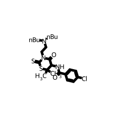 CCCCN(CCCC)CCN1C(=O)C(NC(=O)c2ccc(Cl)cc2)C(C)(C)SC1=S